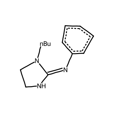 CCCCN1CCNC1=Nc1ccccc1